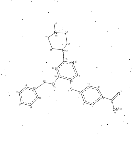 COC(=O)c1ccc(Sc2cnc(N3CCN(C)CC3)nc2OCc2ccccc2)cc1